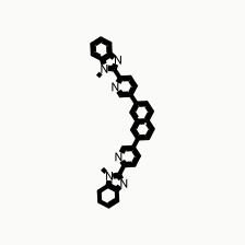 Cn1c(-c2ccc(-c3ccc4ccc(-c5ccc(-c6nc7ccccc7n6C)nc5)cc4c3)cn2)nc2c1CCC=C2